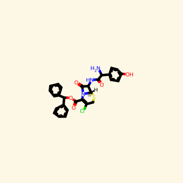 NC(C(=O)NC1C(=O)N2C(C(=O)OC(c3ccccc3)c3ccccc3)=C(Cl)CS[C@@H]12)c1ccc(O)cc1